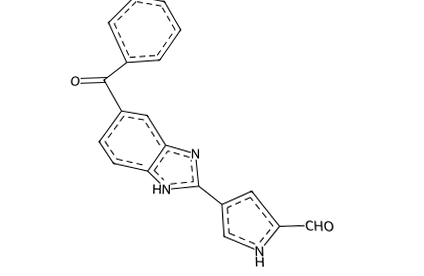 O=Cc1cc(-c2nc3cc(C(=O)c4ccccc4)ccc3[nH]2)c[nH]1